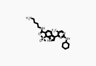 CP(C)(=O)c1c(C(=O)NCCCCN)ccc2c(-c3nc(NC4CCCCC4)ncc3C(F)(F)F)c[nH]c12